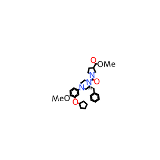 COC(=O)C1CCN(C(=O)N2CCN(c3ccc(OC)c(OC4CCCC4)c3)C[C@@H]2Cc2ccccc2)C1